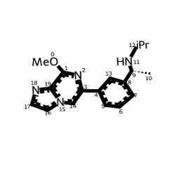 COc1nc(-c2cccc([C@@H](C)NC(C)C)c2)cn2ccnc12